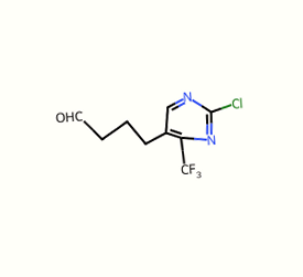 O=CCCCc1cnc(Cl)nc1C(F)(F)F